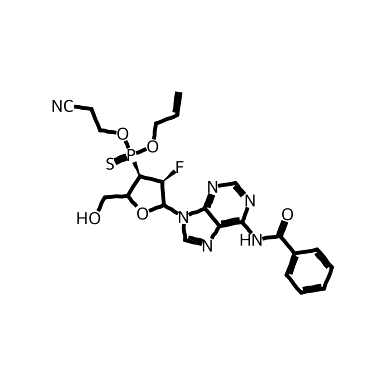 C=CCOP(=S)(OCCC#N)[C@@H]1C(CO)OC(n2cnc3c(NC(=O)c4ccccc4)ncnc32)[C@@H]1F